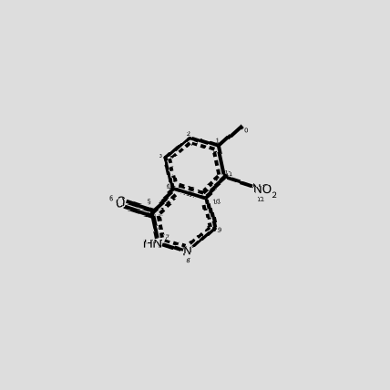 Cc1ccc2c(=O)[nH]ncc2c1[N+](=O)[O-]